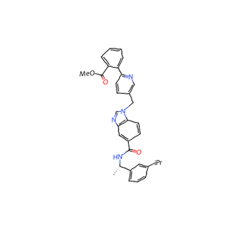 COC(=O)c1ccccc1-c1ccc(Cn2cnc3cc(C(=O)N[C@@H](C)c4cccc(C(C)C)c4)ccc32)cn1